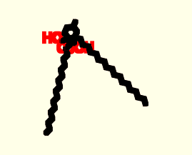 CCCCCCCCCCCCCCCCCCC1(C(=O)O)CC=C(C)CC1(CCCCCCCCCCCCCCCCCC)C(=O)O